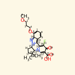 COCCCOc1cccc2c3n(nc12)C1CCC(C)(C)C1n1cc(C(=O)O)c(=O)c(F)c1-3